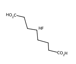 F.O=C(O)CCCCCCC(=O)O